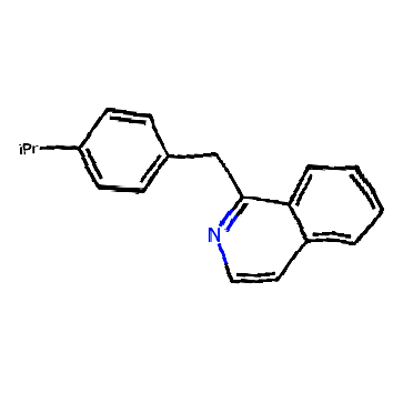 CC(C)c1ccc(Cc2nccc3ccccc23)cc1